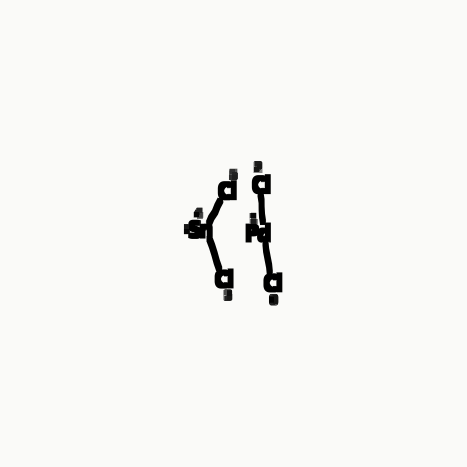 [Cl][Pd][Cl].[Cl][Sn][Cl]